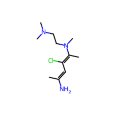 C/C(=C(Cl)\C=C(/C)N)N(C)CCN(C)C